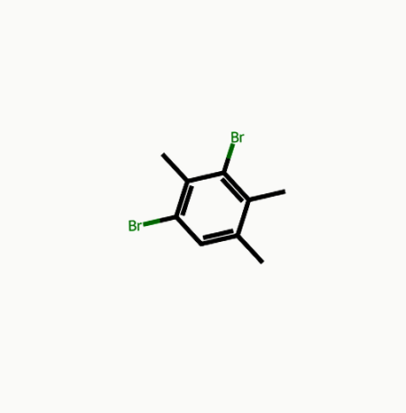 Cc1cc(Br)c(C)c(Br)c1C